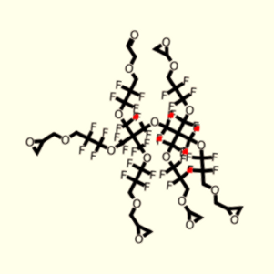 O=CCOCC(F)(F)C(F)(F)OC(F)(F)C(C(F)(F)OC(F)(F)C(F)(F)COCC1CO1)(C(F)(F)OC(F)(F)C(F)(F)COCC1CO1)C(F)(F)OC(F)(F)C(C(F)(F)OC(F)(F)C(F)(F)COCC1CO1)(C(F)(F)OC(F)(F)C(F)(F)COC1CO1)C(F)(F)OC(F)(F)C(F)(F)COC1CO1